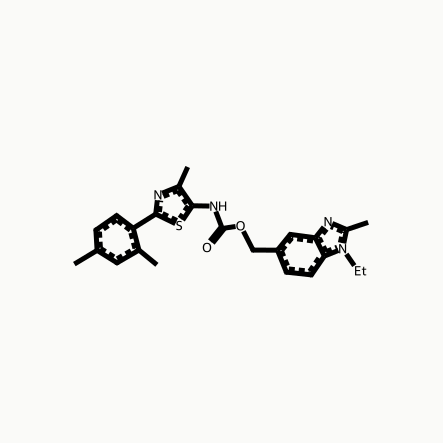 CCn1c(C)nc2cc(COC(=O)Nc3sc(-c4ccc(C)cc4C)nc3C)ccc21